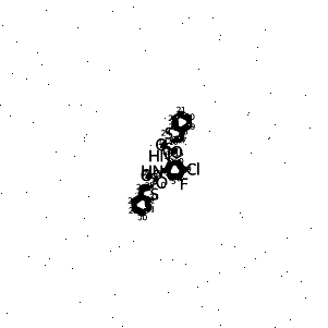 O=S(=O)(Nc1cc(F)c(Cl)cc1NS(=O)(=O)c1cc2ccccc2s1)c1cc2ccccc2s1